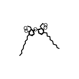 CCCCCCCCCc1ccc(Oc2ccc(CCCCCCCCC)c3c2CCOO3)c2c1OOCC2